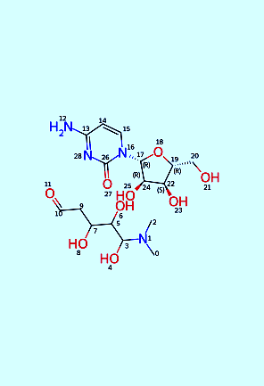 CN(C)C(O)C(O)C(O)CC=O.Nc1ccn([C@@H]2O[C@H](CO)[C@@H](O)[C@H]2O)c(=O)n1